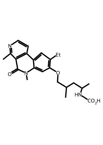 CCc1cc2c3ccnc(C)c3c(=O)n(C)c2cc1OCC(C)CC(C)NC(=O)O